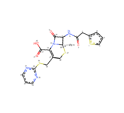 O=C(Cc1cccs1)NC1C(=O)N2C(C(=O)O)=C(CSc3ncccn3)CS[C@H]12